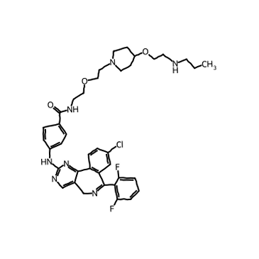 CCCNCCOC1CCN(CCOCCNC(=O)c2ccc(Nc3ncc4c(n3)-c3ccc(Cl)cc3C(c3c(F)cccc3F)=NC4)cc2)CC1